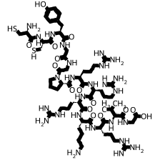 CC(C)[C@H](NC(=O)[C@H](CCCNC(=N)N)NC(=O)[C@H](CCCCN)NC(=O)[C@H](CCCNC(=N)N)NC(=O)[C@H](CCCNC(=N)N)NC(=O)[C@H](CCCNC(=N)N)NC(=O)[C@@H]1CCCN1C(=O)CNC(=O)CNC(=O)[C@H](Cc1ccc(O)cc1)NC(=O)[C@H](CS)NC(=O)[C@@H](N)CS)C(=O)NCC(=O)O